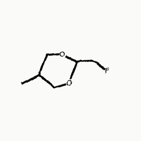 CC1COC(CF)OC1